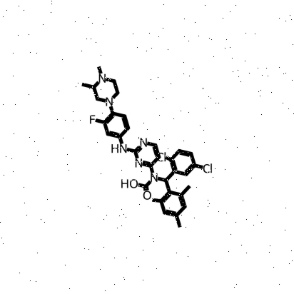 Cc1cc(C)c(C(c2cc(Cl)ccc2Cl)N(C(=O)O)c2ccnc(Nc3ccc(N4CCN(C)C(C)C4)c(F)c3)n2)c(C)c1